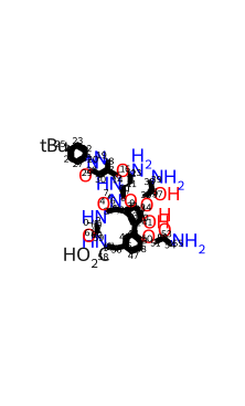 C[C@@H]1NC(=O)[C@@H](N(C)C(=O)[C@H](CCN)NC(=O)c2cnn(-c3ccc(C(C)(C)C)cc3)c(=O)c2)c2cc(OC[C@H](O)CN)c(O)c(c2)-c2cc(ccc2OC[C@H](O)CN)C[C@@H](C(=O)O)NC1=O